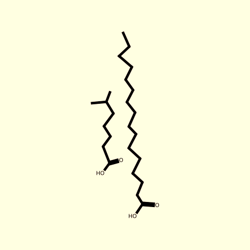 CC(C)CCCCC(=O)O.CCCCCCCCCCCCCCCC(=O)O